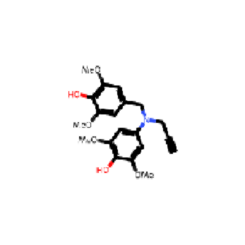 C#CCN(Cc1cc(OC)c(O)c(OC)c1)c1cc(OC)c(O)c(OC)c1